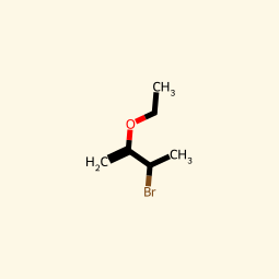 C=C(OCC)C(C)Br